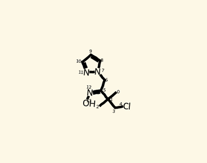 CC(C)(CCl)C(Cn1cccn1)=NO